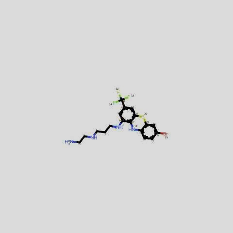 NCCNCCCNc1cc(C(F)(F)F)cc2c1Nc1ccc(Br)cc1S2